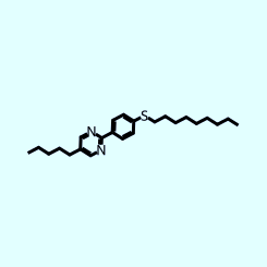 CCCCCCCCCSc1ccc(-c2ncc(CCCCC)cn2)cc1